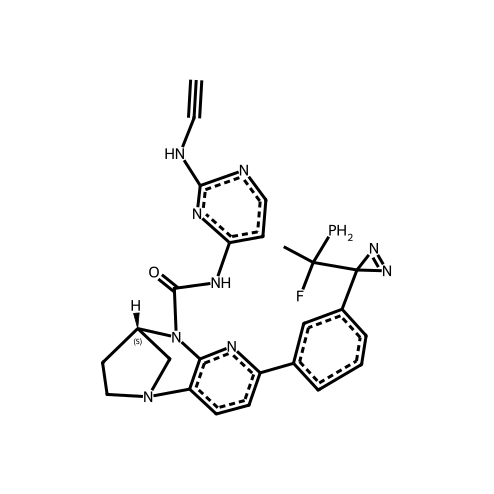 C#CNc1nccc(NC(=O)N2c3nc(-c4cccc(C5(C(C)(F)P)N=N5)c4)ccc3N3CC[C@H]2C3)n1